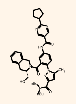 CCCCN(CCCC)C(=O)c1cc(C)n(-c2ccc(NC(=O)c3cnc(C4CCCC4)nc3)cc2C(=O)N2Cc3ccccc3C[C@H]2CO)n1